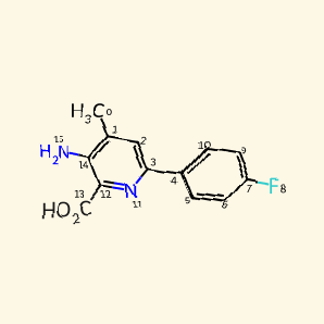 Cc1cc(-c2ccc(F)cc2)nc(C(=O)O)c1N